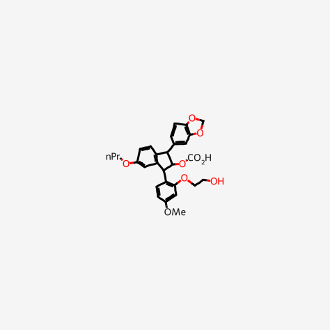 CCCOc1ccc2c(c1)C(c1ccc(OC)cc1OCCO)C(OC(=O)O)C2c1ccc2c(c1)OCO2